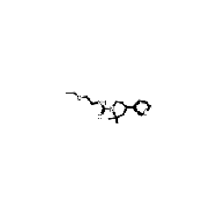 CCOCCNC(=O)N1CCC(c2ccccc2)CC1(C)C